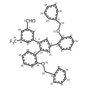 O=Cc1cc(-n2cc(-c3ccccc3OCc3ccccc3)nc2-c2ccccc2OCc2ccccc2)cc(C(F)(F)F)c1